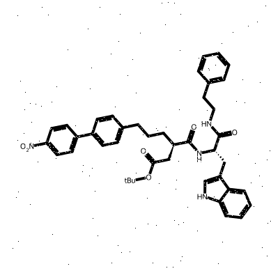 CC(C)(C)OC(=O)C[C@@H](CCCc1ccc(-c2ccc([N+](=O)[O-])cc2)cc1)C(=O)N[C@@H](Cc1c[nH]c2ccccc12)C(=O)NCCc1ccccc1